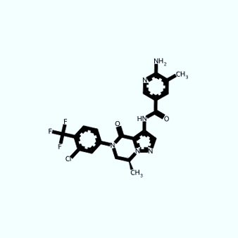 Cc1cc(C(=O)Nc2cnn3c2C(=O)N(c2ccc(C(F)(F)F)c(Cl)c2)C[C@@H]3C)cnc1N